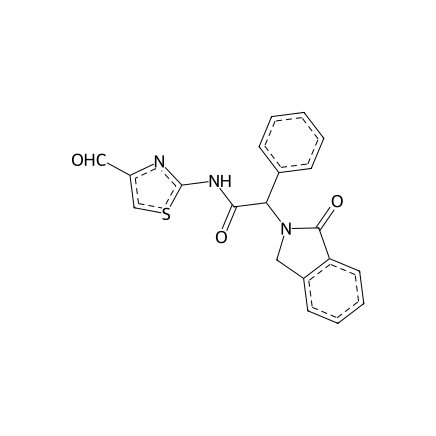 O=Cc1csc(NC(=O)C(c2ccccc2)N2Cc3ccccc3C2=O)n1